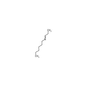 [CH2]CC=NCCCCCC